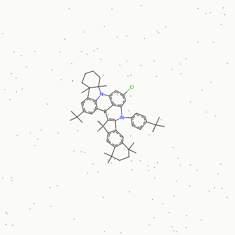 CC(C)(C)c1ccc(N2C3=C(B4c5cc(C(C)(C)C)cc6c5N(c5cc(Cl)cc2c54)C2(C)CCCCC62C)C(C)(C)c2cc4c(cc23)C(C)(C)CCC4(C)C)cc1